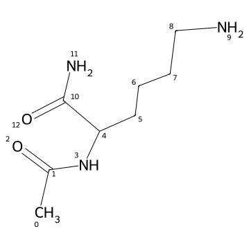 CC(=O)NC(CCCCN)C(N)=O